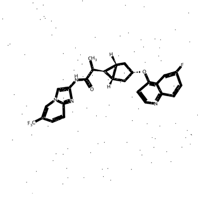 CC(C(=O)Nc1cn2cc(C(F)(F)F)ccc2n1)[C@H]1[C@@H]2C[C@H](Oc3ccnc4ccc(F)cc34)C[C@@H]21